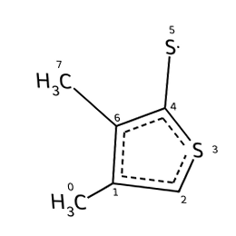 Cc1csc([S])c1C